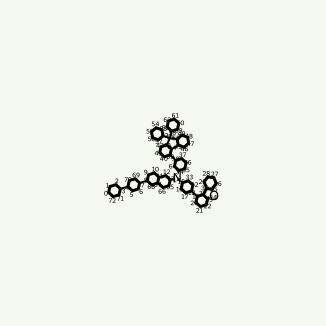 c1ccc(-c2ccc(-c3ccc4cc(N(c5ccc(-c6cccc7oc8ccccc8c67)cc5)c5cccc(-c6cccc7c6-c6ccccc6C7(c6ccccc6)c6ccccc6)c5)ccc4c3)cc2)cc1